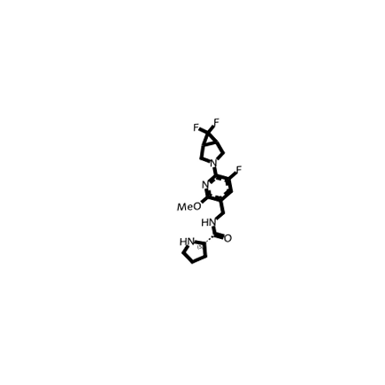 COc1nc(N2CC3C(C2)C3(F)F)c(F)cc1CNC(=O)[C@@H]1CCCN1